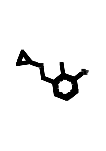 Cc1c(Br)cccc1CSC1CC1